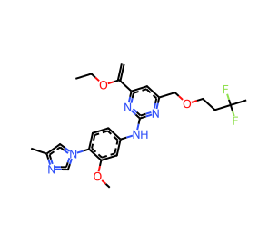 C=C(OCC)c1cc(COCCC(C)(F)F)nc(Nc2ccc(-n3cnc(C)c3)c(OC)c2)n1